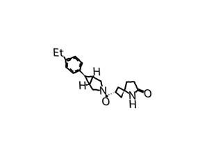 CCc1ccc([C@H]2[C@@H]3CN(C(=O)[C@H]4C[C@]5(CCC(=O)N5)C4)C[C@@H]32)cc1